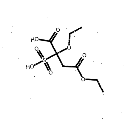 CCOC(=O)CC(OCC)(C(=O)O)S(=O)(=O)O